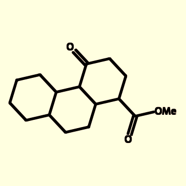 COC(=O)C1CCC(=O)C2C3CCCCC3CCC12